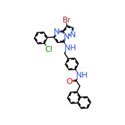 O=C(Cc1cccc2ccccc12)Nc1ccc(CNc2cc(-c3ccccc3Cl)nc3c(Br)cnn23)cc1